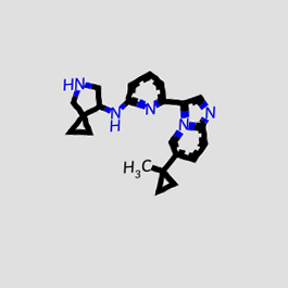 CC1(c2ccc3ncc(-c4cccc(NC5CNCC56CC6)n4)n3c2)CC1